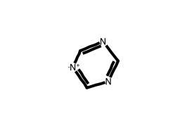 C1=NC=[N+]C=N1